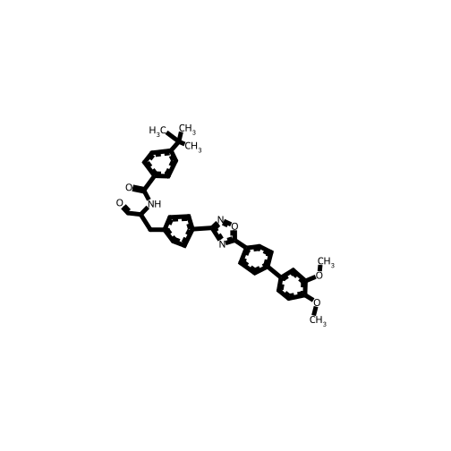 COc1ccc(-c2ccc(-c3nc(-c4ccc(CC(C=O)NC(=O)c5ccc(C(C)(C)C)cc5)cc4)no3)cc2)cc1OC